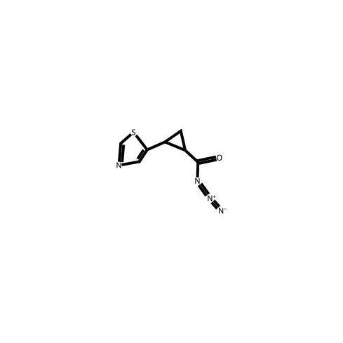 [N-]=[N+]=NC(=O)C1CC1c1cncs1